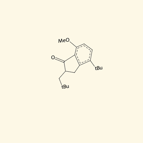 COc1ccc(C(C)(C)C)c2c1C(=O)C(CC(C)(C)C)C2